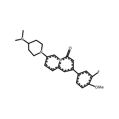 COc1ccc(-c2cc(=O)n3cc(N4CCC(N(C)C)CC4)ccc3c2)cc1F